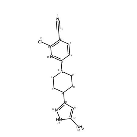 N#Cc1ccc(N2CCC(c3cc(N)[nH]n3)CC2)nc1Cl